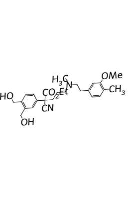 CCOC(=O)C(C#N)(CCCN(C)CCc1ccc(C)c(OC)c1)c1ccc(CO)c(CO)c1